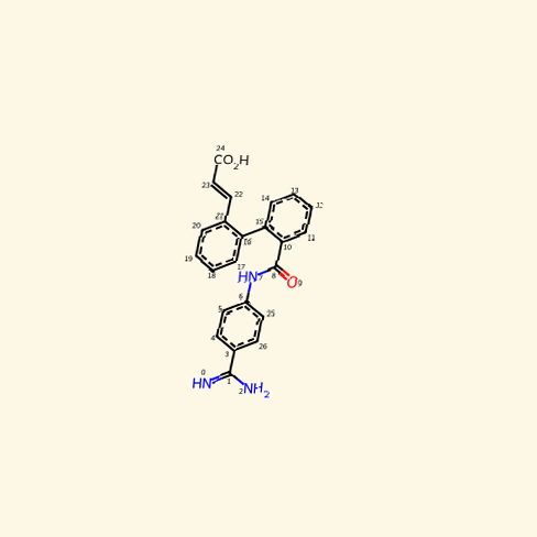 N=C(N)c1ccc(NC(=O)c2ccccc2-c2ccccc2C=CC(=O)O)cc1